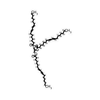 CCCCCCCC#CC#CCCCCCCC(=O)OCC(COC(=O)CCCCCCC#CC#CCCCCCCC)OC(=O)CCCCCCC#CC#CCCCCCCC